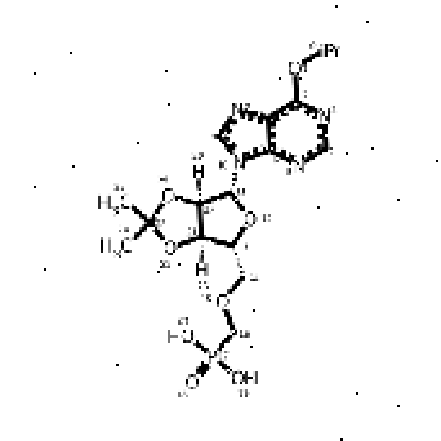 CC(C)Oc1ncnc2c1ncn2[C@@H]1O[C@H](COCP(=O)(O)O)[C@H]2OC(C)(C)O[C@H]21